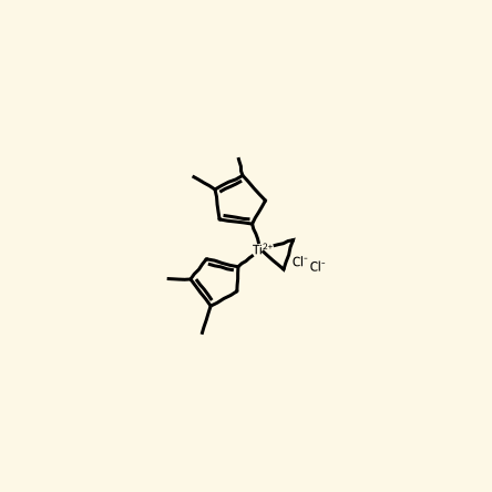 CC1=C(C)C[C]([Ti+2]2([C]3=CC(C)=C(C)C3)[CH2][CH2]2)=C1.[Cl-].[Cl-]